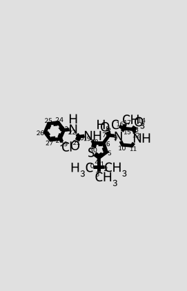 CC(C)(C)c1cc(C(=O)N2CCNC(=O)C2(C)C)c(NC(=O)Nc2ccccc2Cl)s1